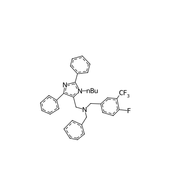 CCCCn1c(-c2ccccc2)nc(-c2ccccc2)c1CN(Cc1ccccc1)Cc1ccc(F)c(C(F)(F)F)c1